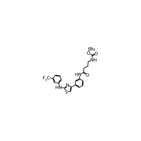 CC(C)(C)OC(=O)NCCCC(=O)Nc1cccc(-c2csc(Nc3cccc(C(F)(F)F)c3)n2)c1